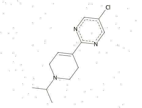 CC(C)N1CC=C(c2ncc(Cl)cn2)CC1